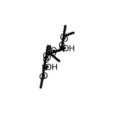 CCCCCCCCCOC(=O)CCCCCN(CCO)CCCCCOCC(=O)OC(CCCCCCC)CC(CCCCCC)C(CCCCCCCCC)COC(=O)CCCCCN(CCO)CCOCCCCC(=O)OC(CCCCCCCC)CCCCCCCC